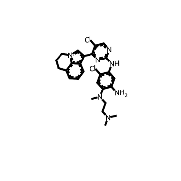 CN(C)CCN(C)c1cc(Cl)c(Nc2ncc(Cl)c(-c3cn4c5c(cccc35)CCC4)n2)cc1N